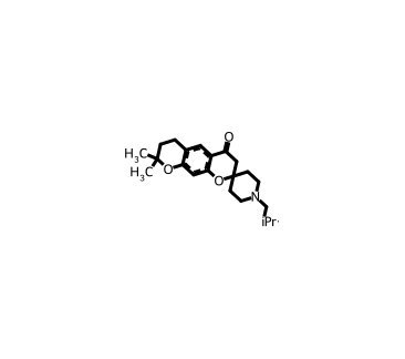 C[C](C)CN1CCC2(CC1)CC(=O)c1cc3c(cc1O2)OC(C)(C)CC3